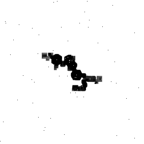 COCCN(Cc1cccc(-c2cc3nccc(Oc4ccc(N)cc4F)c3s2)c1)C(=O)O